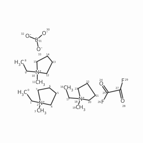 CC[N+]1(C)CCCC1.CC[N+]1(C)CCCC1.CC[N+]1(C)CCCC1.O=C(F)C(=O)F.[O-]B([O-])[O-]